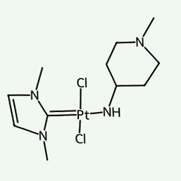 CN1CCC([NH][Pt]([Cl])([Cl])=[c]2n(C)ccn2C)CC1